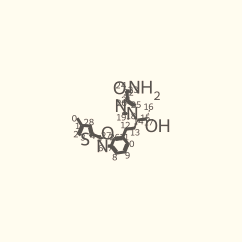 Cc1csc(-c2nc3cccc(CC[C@H]([C@H](C)O)n4cnc(C(N)=O)c4)c3o2)c1